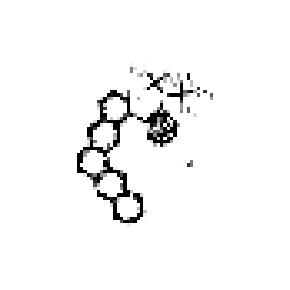 CC(C)(C)P(C(C)(C)C)[C]12[CH]3[CH]4[CH]5[C]1(c1cccc6cc7ccc8cc9ccccc9cc8c7cc16)[Fe]45321678[CH]2[CH]1[CH]6[CH]7[CH]28.[Pd]